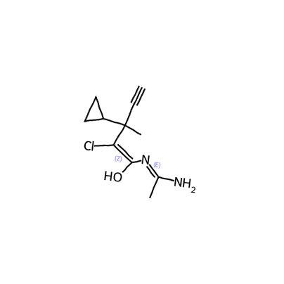 C#CC(C)(/C(Cl)=C(O)\N=C(/C)N)C1CC1